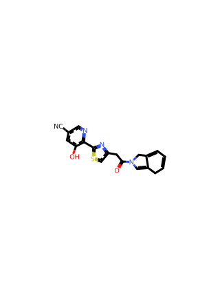 N#Cc1cnc(-c2nc(CC(=O)N3C=C4CC=CC=C4C3)cs2)c(O)c1